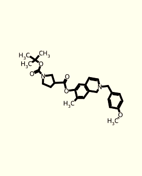 COc1ccc(CN2C=Cc3cc(OC(=O)C4CCN(C(=O)OC(C)(C)C)C4)c(C)cc3C2)cc1